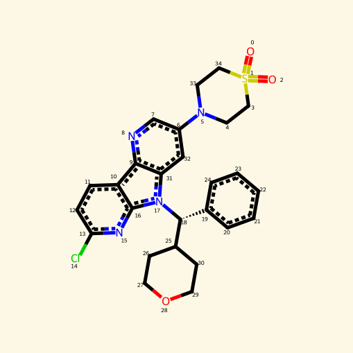 O=S1(=O)CCN(c2cnc3c4ccc(Cl)nc4n([C@H](c4ccccc4)C4CCOCC4)c3c2)CC1